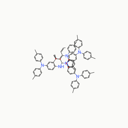 C=C(/C=C(\C=C/C)N(c1ccc(C)cc1)c1ccc(C)cc1)c1cc(N(c2ccc(C)cc2)c2ccc(C)cc2)ccc1NC(CCC)n1c2ccc(N(c3ccc(C)cc3)c3ccc(C)cc3)cc2c2cc(N(c3ccc(C)cc3)c3ccc(C)cc3)ccc21